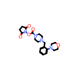 O=C(ON1C(=O)CCC1=O)N1CCN(Cc2ccccc2N2CCOCC2)CC1